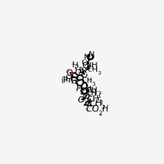 CC(C)C1=C2[C@H]3CC[C@@H]4[C@@]5(C)CC[C@H](OC(=O)[C@H]6C[C@@H](C(=O)O)C6(C)C)C(C)(C)[C@@H]5CC[C@@]4(C)[C@]3(C)CC[C@@]2(CC(=O)NCC(C)(C)NC(=O)c2ccncn2)CC1=O